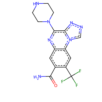 NC(=O)c1cc2nc(N3CCNCC3)c3nncn3c2cc1C(F)(F)F